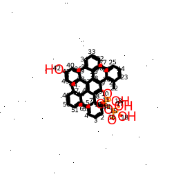 Cc1cccc(C)c1-c1c(OP(=O)(O)OP(=O)(O)O)c(-c2c(C)cccc2C)c(-c2c(C)cccc2C)c(-c2ccc(O)cc2)c1-c1c(C)cccc1C